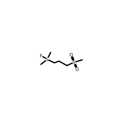 CS(C)(F)CCCS(C)(=O)=O